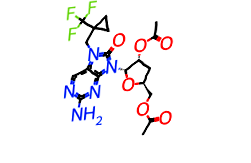 CC(=O)OC[C@@H]1C[C@@H](OC(C)=O)[C@@H](n2c(=O)n(CC3(C(F)(F)F)CC3)c3cnc(N)nc32)O1